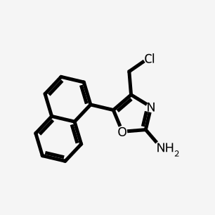 Nc1nc(CCl)c(-c2cccc3ccccc23)o1